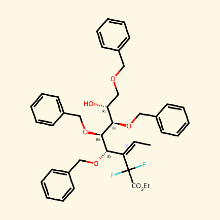 C/C=C(/[C@H](OCc1ccccc1)[C@@H](OCc1ccccc1)[C@H](OCc1ccccc1)[C@H](O)COCc1ccccc1)C(F)(F)C(=O)OCC